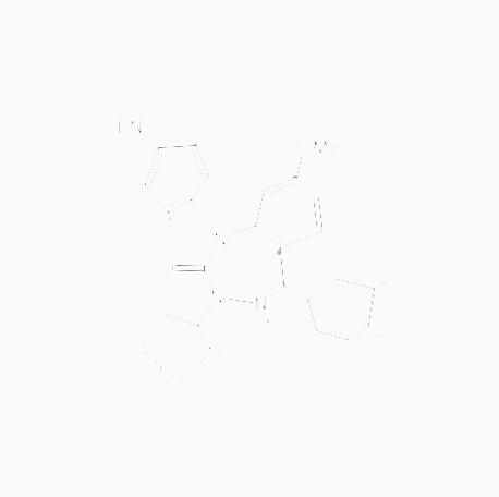 COc1ccc2c(c1)N(c1ccc(N)cc1)C(=O)N(C1CCOCC1)N=C2C1CCCCC1